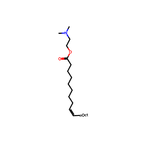 CCCCCCCC/C=C\CCCCCCCC(=O)OCCN(C)C